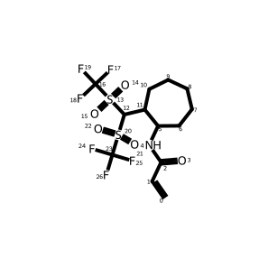 C=CC(=O)NC1CCCCCC1C(S(=O)(=O)C(F)(F)F)S(=O)(=O)C(F)(F)F